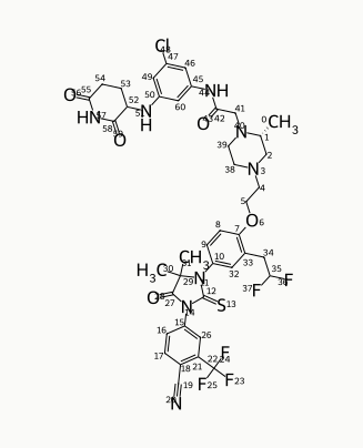 C[C@@H]1CN(CCOc2ccc(N3C(=S)N(c4ccc(C#N)c(C(F)(F)F)c4)C(=O)C3(C)C)cc2CC(F)F)CCN1CC(=O)Nc1cc(Cl)cc(NC2CCC(=O)NC2=O)c1